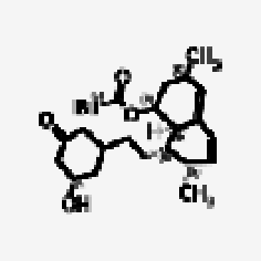 CC[C@H](C)C(=O)O[C@H]1C[C@@H](C)C=C2C=C[C@H](C)[C@H](CCC3CC(=O)C[C@H](O)C3)[C@H]21